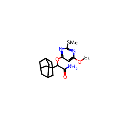 CCOc1cc(OC(C(N)=O)C23CC4CC(CC(C4)C2)C3)nc(SC)n1